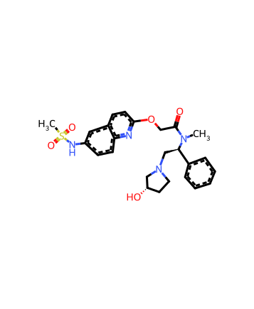 CN(C(=O)COc1ccc2cc(NS(C)(=O)=O)ccc2n1)[C@H](CN1CC[C@H](O)C1)c1ccccc1